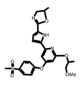 COCC(C)Oc1cc(Oc2ccc(S(C)(=O)=O)cc2)cc(-c2ccc(C3=NCC(C)O3)[nH]2)n1